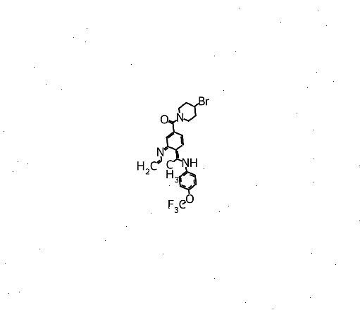 C=C/N=C1/C=C(C(=O)N2CCC(Br)CC2)C=C/C1=C(/C)Nc1ccc(OC(F)(F)F)cc1